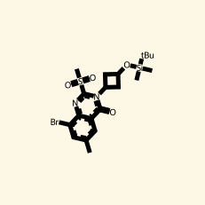 Cc1cc(Br)c2nc(S(C)(=O)=O)n(C3CC(O[Si](C)(C)C(C)(C)C)C3)c(=O)c2c1